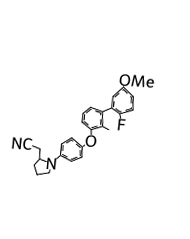 COc1ccc(F)c(-c2cccc(Oc3ccc(N4CCCC4CC#N)cc3)c2C)c1